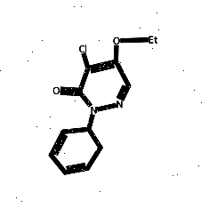 CCOc1cnn(C2C=CC=CC2)c(=O)c1Cl